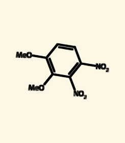 COc1ccc([N+](=O)[O-])c([N+](=O)[O-])c1OC